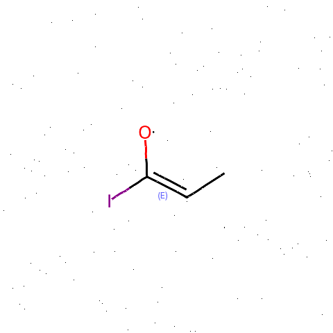 C/C=C(\[O])I